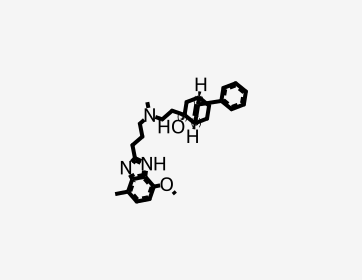 COc1ccc(C)c2nc(CCCN(C)CC[C@@]3(O)C[C@@H]4CC[C@H]3C=C4c3ccccc3)[nH]c12